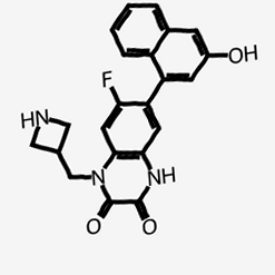 O=c1[nH]c2cc(-c3cc(O)cc4ccccc34)c(F)cc2n(CC2CNC2)c1=O